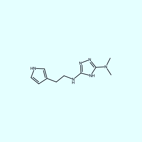 CN(C)c1nnc(NCCc2cc[nH]c2)[nH]1